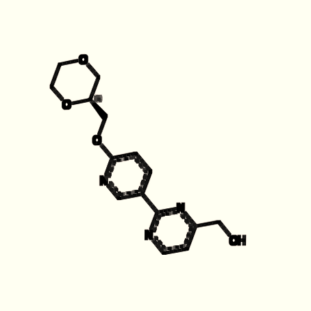 OCc1ccnc(-c2ccc(OC[C@@H]3COCCO3)nc2)n1